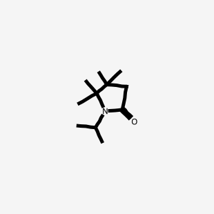 CC(C)N1C(=O)CC(C)(C)C1(C)C